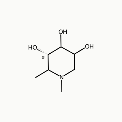 CC1[C@H](O)C(O)C(O)CN1C